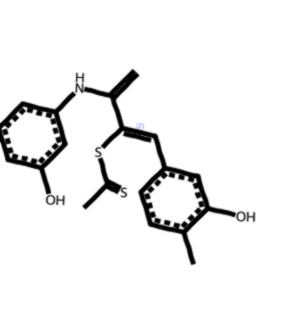 C=C(Nc1cccc(O)c1)/C(=C/c1ccc(C)c(O)c1)SC(C)=S